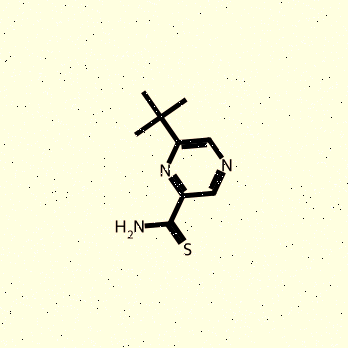 CC(C)(C)c1cncc(C(N)=S)n1